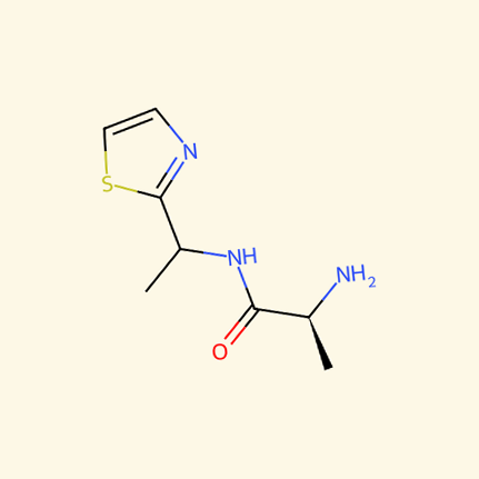 CC(NC(=O)[C@H](C)N)c1nccs1